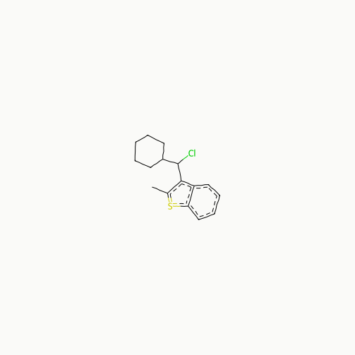 Cc1sc2ccccc2c1C(Cl)C1CCCCC1